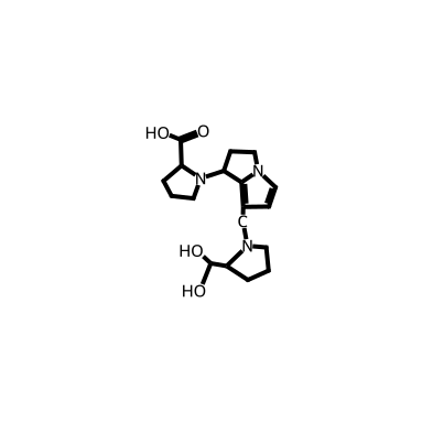 O=C(O)C1CCCN1C1CCn2ccc(CN3CCCC3C(O)O)c21